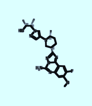 COc1cc2nc(N)n3nc([C@H]4CC[C@@H](C)N(c5cnn([C@@H](C)[C@@H](C)O)c5)C4)nc3c2cc1F